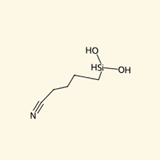 N#CCCCC[SiH](O)O